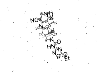 CCOc1nc(NC(=O)N2CC3C[C@@H](N(C)c4c(C#N)cnc5[nH]ccc45)C[C@@H]3C2)no1